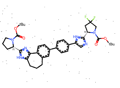 CC(C)(C)OC(=O)N1CC(F)(F)C[C@H]1c1ncc(-c2ccc(-c3ccc4c(c3)CCCc3[nH]c([C@@H]5CCCN5C(=O)OC(C)(C)C)nc3-4)cc2)[nH]1